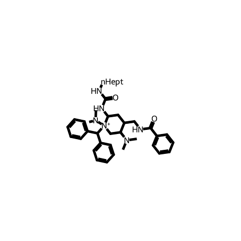 CCCCCCCNC(=O)NC1CC(CNC(=O)c2ccccc2)C(N(C)C)C[N+]1(C(c1ccccc1)c1ccccc1)N(C)C